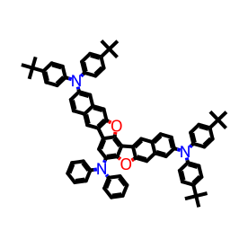 CC(C)(C)c1ccc(N(c2ccc(C(C)(C)C)cc2)c2ccc3cc4c(cc3c2)oc2c4cc(N(c3ccccc3)c3ccccc3)c3oc4cc5cc(N(c6ccc(C(C)(C)C)cc6)c6ccc(C(C)(C)C)cc6)ccc5cc4c32)cc1